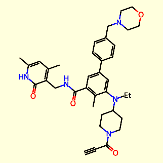 C#CC(=O)N1CCC(N(CC)c2cc(-c3ccc(CN4CCOCC4)cc3)cc(C(=O)NCc3c(C)cc(C)[nH]c3=O)c2C)CC1